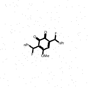 CCCC(F)C1=CC(OC)=C(C(F)CCC)C(=O)C1=O